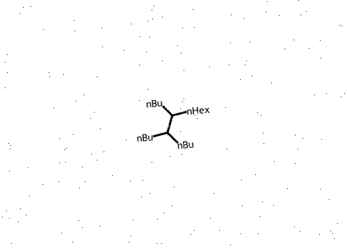 CCCCCCC(CCCC)[C](CCCC)CCCC